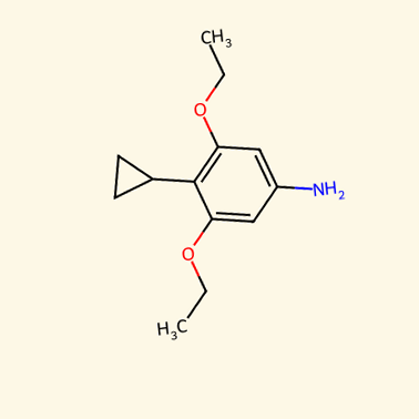 CCOc1cc(N)cc(OCC)c1C1CC1